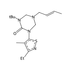 CC=CCN1CN(c2snc(CC)c2C)C(=O)N(C(C)(C)C)C1